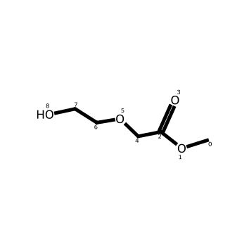 COC(=O)COCCO